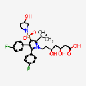 CC(C)c1c(S(=O)(=O)N2CCC(O)C2)c(-c2ccc(F)cc2)c(-c2ccc(F)cc2)n1CCC(O)CC(O)CC(=O)O